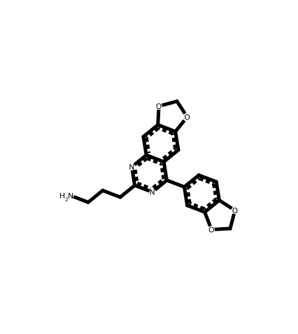 NCCCc1nc(-c2ccc3c(c2)OCO3)c2cc3c(cc2n1)OCO3